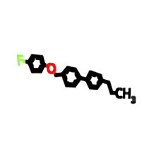 CCCc1ccc(-c2ccc(COc3ccc(F)cc3)cc2)cc1